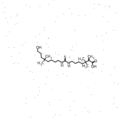 C=C(C(=O)O)C(C)(C)CCCCNC(=S)NCCCCC(C)(C)CCCO